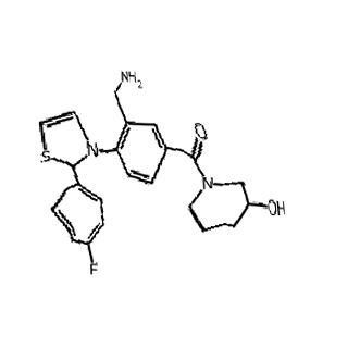 NCc1cc(C(=O)N2CCCC(O)C2)ccc1N1C=CSC1c1ccc(F)cc1